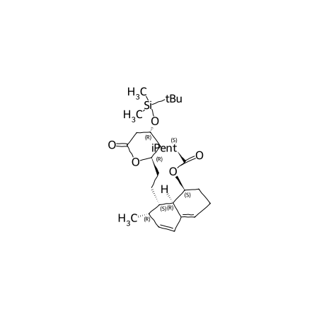 CCC[C@H](C)C(=O)O[C@H]1CCC=C2C=C[C@H](C)[C@H](CC[C@@H]3C[C@@H](O[Si](C)(C)C(C)(C)C)CC(=O)O3)[C@H]21